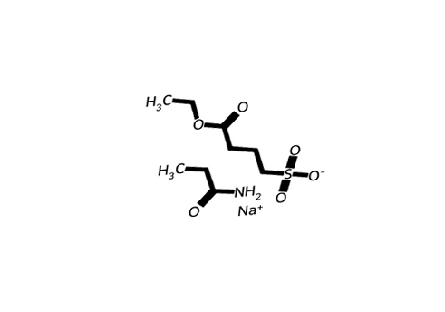 CCC(N)=O.CCOC(=O)CCCS(=O)(=O)[O-].[Na+]